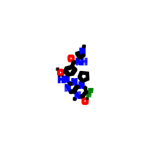 COc1cc(C(=O)NC2CN(C)C2)ccc1Nc1ncc2c(n1)N(C1CCCC1)CC(F)(F)C(=O)N2C